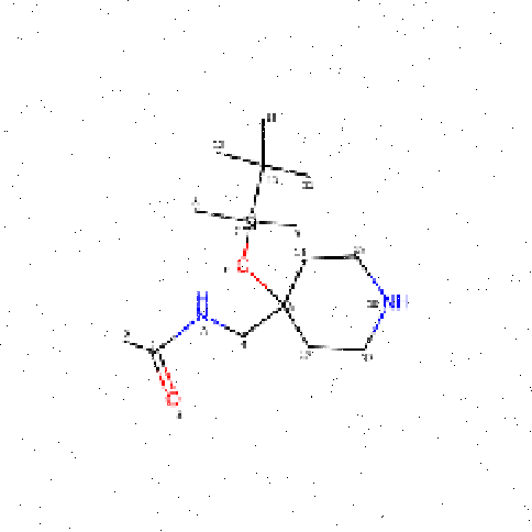 CC(=O)NCC1(O[Si](C)(C)C(C)(C)C)CCNCC1